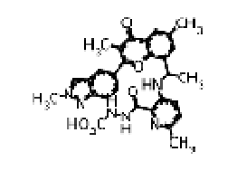 Cc1cc(C(C)Nc2ccc(C)nc2C(=O)NNC(=O)O)c2oc(-c3ccc4nn(C)cc4c3)c(C)c(=O)c2c1